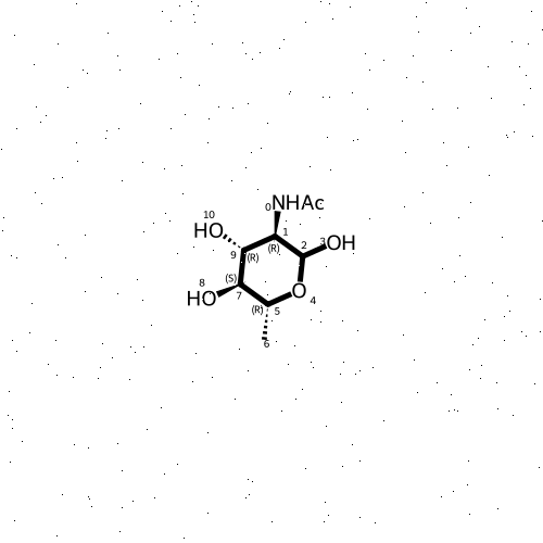 CC(=O)N[C@H]1C(O)O[C@H](C)[C@@H](O)[C@@H]1O